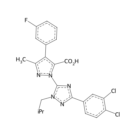 Cc1nn(-c2nc(-c3ccc(Cl)c(Cl)c3)nn2CC(C)C)c(C(=O)O)c1-c1cccc(F)c1